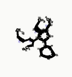 C=C/C(=C\C=C/C)n1c(-c2ccccc2)nc(=C/C)/c1=C\C